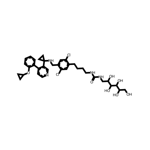 O=C(NCCCCc1cc(Cl)c(CNC2(c3cnccc3-c3ccccc3OC3CC3)CC2)cc1Cl)NCC(O)C(O)C(O)C(O)CO